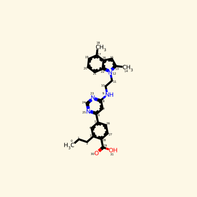 CCCc1cc(-c2cc(NCCn3c(C)cc4c(C)cccc43)ncn2)ccc1C(=O)O